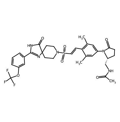 CC(=O)NC[C@H]1CCC(=O)N1c1cc(C)c(/C=C/S(=O)(=O)N2CCC3(CC2)N=C(c2cccc(OC(F)(F)F)c2)NC3=O)c(C)c1